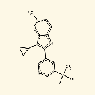 CC(O)(c1cncc(-c2nc3ccc(C(F)(F)F)cn3c2C2CC2)c1)C(F)(F)F